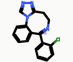 Clc1ccccc1/C1=N/CCc2nncn2-c2ccccc21